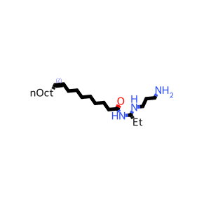 CCCCCCCC/C=C\CCCCCCCC(=O)NC(CC)NCCCN